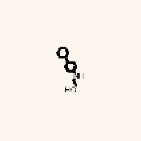 OCCNc1ccc(C2CCCCC2)cc1